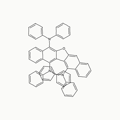 c1ccc(N(c2ccccc2)c2c3ccccc3c(N(c3ccccc3)c3ccccc3)c3c2oc2cc4ccccc4c(N(c4ccccc4)c4ccccc4)c23)cc1